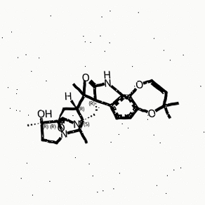 CN1C(=O)[C@]23C[C@@H]4C(C)(C)[C@@]5(C[C@@]41CN2CC[C@@]3(C)O)C(=O)Nc1c5ccc2c1OC=CC(C)(C)O2